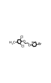 Cc1cc(Cl)c(OCCOc2ccc(Br)cn2)c(Cl)c1